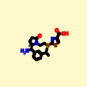 CC(C)c1cccc(C(N)[C@H]2CCC(=O)N2CCSc2nc(C(=O)O)cs2)c1